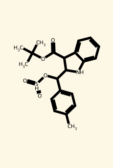 Cc1ccc(C(O[SH](=O)=O)C2Nc3ccccc3C2C(=O)OC(C)(C)C)cc1